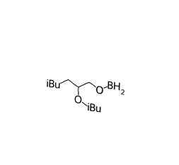 BOCC(CC(C)CC)OC(C)CC